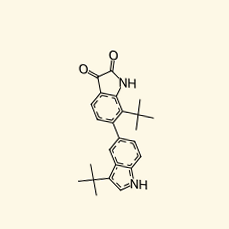 CC(C)(C)c1c(-c2ccc3[nH]cc(C(C)(C)C)c3c2)ccc2c1NC(=O)C2=O